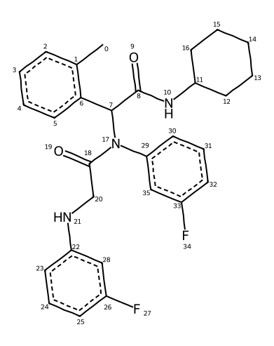 Cc1ccccc1C(C(=O)NC1CCCCC1)N(C(=O)CNc1cccc(F)c1)c1cccc(F)c1